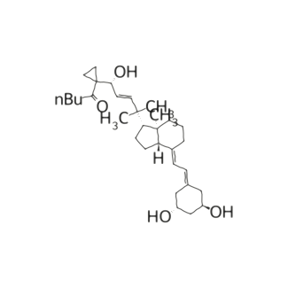 CCCCC(=O)C1([C@H](O)/C=C/C(C)(C)[C@H]2CC[C@H]3/C(=C/C=C4C[C@@H](O)C[C@H](O)C4)CCC[C@]23C)CC1